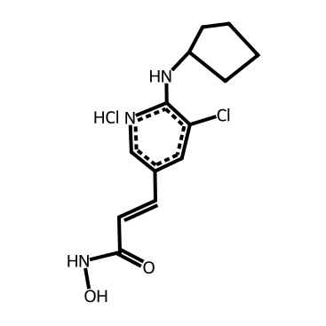 Cl.O=C(C=Cc1cnc(NC2CCCC2)c(Cl)c1)NO